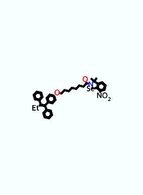 CCC(=C(c1ccccc1)c1ccc(OCCCCCCCC(=O)N2[Se]c3c([N+](=O)[O-])cccc3C2(C)C)cc1)c1ccccc1